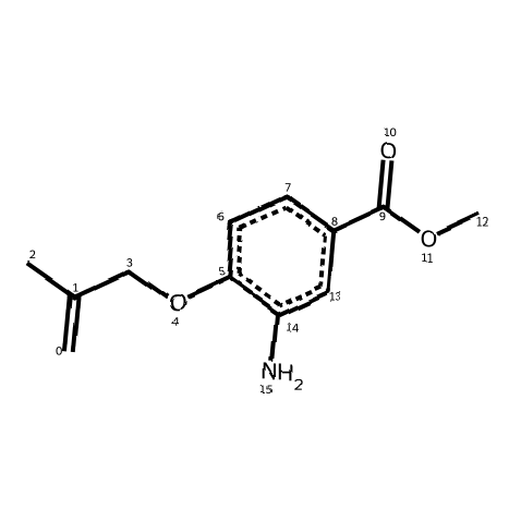 C=C(C)COc1ccc(C(=O)OC)cc1N